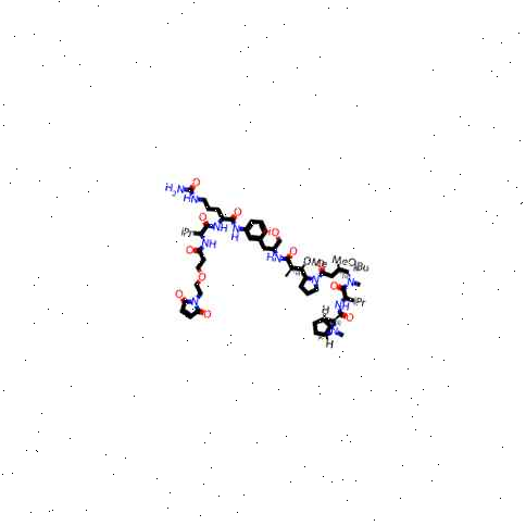 CC[C@H](C)[C@@H]([C@@H](CC(=O)N1CCCC1[C@H](OC)[C@@H](C)C(=O)NC(CO)Cc1cccc(NC(=O)C(CCCNC(N)=O)NC(=O)C(NC(=O)CCOCCN2C(=O)C=CC2=O)C(C)C)c1)OC)N(C)C(=O)C(NC(=O)[C@@H]1[C@H]2CC[C@H](C2)N1C)C(C)C